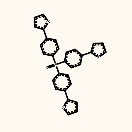 S=P(c1ccc(-c2cccs2)cc1)(c1ccc(-c2cccs2)cc1)c1ccc(-c2cccs2)cc1